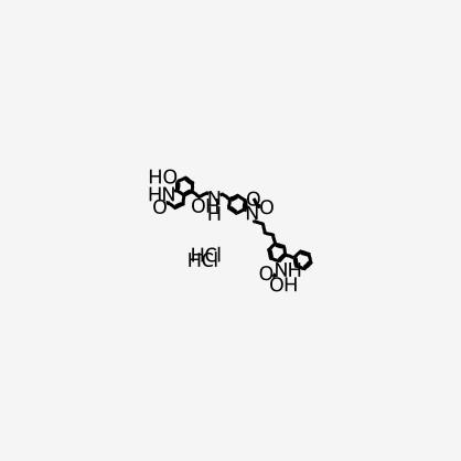 Cl.Cl.O=C(O)Nc1ccc(CCCCn2c(=O)oc3cc(CNC[C@@H](O)c4ccc(O)c5[nH]c(=O)ccc45)ccc32)cc1-c1ccccc1